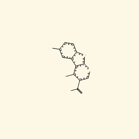 COC(=O)c1cnc2[nH]c3ccc(C#N)cc3c2c1Cl